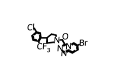 O=C(c1nnc2ccc(Br)cn12)N1CCC(c2cc(Cl)ccc2C(F)(F)F)CC1